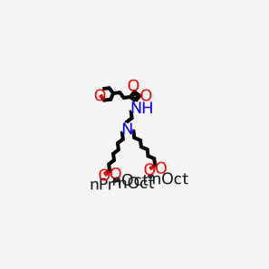 CCCCCCCCC(CCC)OC(=O)CCCCCCCN(CCCCCCCC(=O)OC(CCCCCCCC)CCCCCCCC)CCCNc1c(CCC2CCOCC2)c(=O)c1=O